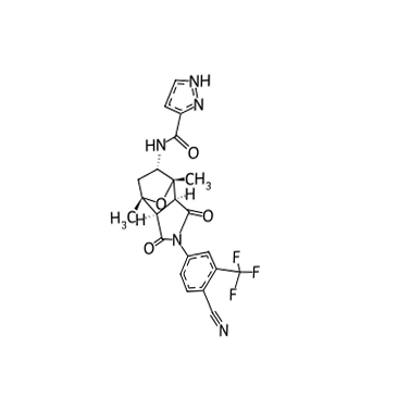 C[C@@]12O[C@@](C)(C[C@@H]1NC(=O)c1cc[nH]n1)[C@@H]1C(=O)N(c3ccc(C#N)c(C(F)(F)F)c3)C(=O)[C@@H]12